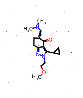 COCCn1nc2c(c1C1CC1)C(=O)/C(=C/N(C)C)CC2